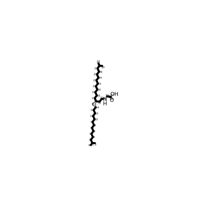 CC(C)CCCCCCCCCCCCOC(CCCCCCCCCCCC(C)C)CCNCC(=O)O